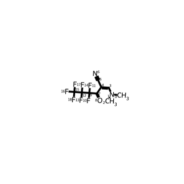 CN(C)/C=C(/C#N)C(=O)C(F)(F)C(F)(F)C(F)(F)F